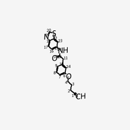 C#CCCCOc1cccc(CC(=O)Nc2ccc3ncsc3c2)c1